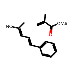 C=C(C)C(=O)OC.CC(C#N)=CC=Cc1ccccc1